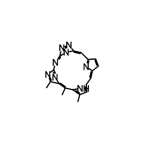 CC1=Nc2nc1c(C)c1[nH]c(cc3nc(cc4nnc(n2)n4C)C=C3)cc1C